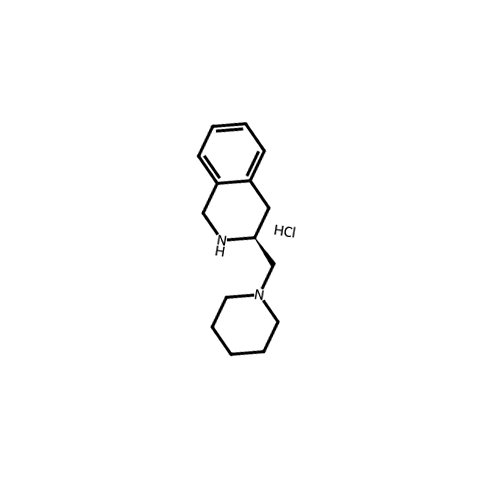 Cl.c1ccc2c(c1)CN[C@H](CN1CCCCC1)C2